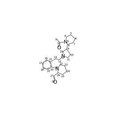 CC(=O)N1CCCCC1C1CCN(CCc2ccccc2N2CCCCC2C=O)C1